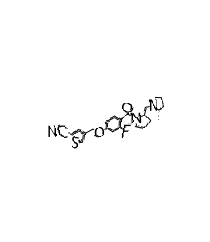 C[C@H]1CCCN1CC1CCCN1C(=O)c1ccc(OCc2csc(C#N)c2)cc1F